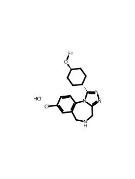 CCO[C@H]1CC[C@H](c2nnc3n2-c2ccc(Cl)cc2CNC3)CC1.Cl